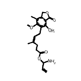 C=CC(N)OC(=O)CCC(C)=CCc1c(O)c2c(c(C)c1OC)COC2=O